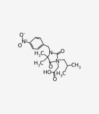 CC(C)C[N+]1(CC(=O)O)C(=O)N(Cc2ccc([N+](=O)[O-])cc2)C(C)(C)C1=O